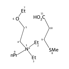 CCC[N+](CC)(CC)CCOCC.CSCCC(=O)O